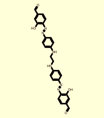 O=Cc1ccc(/N=N/c2ccc(NCCNc3ccc(/N=N/c4ccc(C=O)cc4O)cc3)cc2)c(O)c1